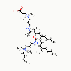 C=C(NCCC[N+](C)(C)CCC(=O)O)C(C)CCC(CCCC)C(CCC(C)CCCC)C(=O)NCCC[N+](C)(C)CCCC